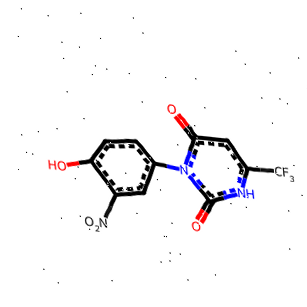 O=c1cc(C(F)(F)F)[nH]c(=O)n1-c1ccc(O)c([N+](=O)[O-])c1